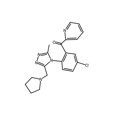 Cc1nnc(CN2CCCC2)n1-c1ccc(Cl)cc1C(=O)c1ccccn1